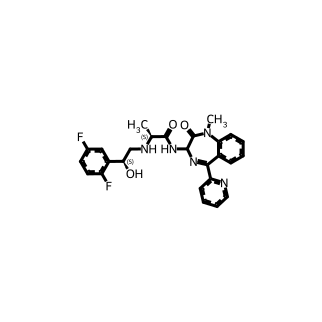 C[C@H](NC[C@@H](O)c1cc(F)ccc1F)C(=O)NC1N=C(c2ccccn2)c2ccccc2N(C)C1=O